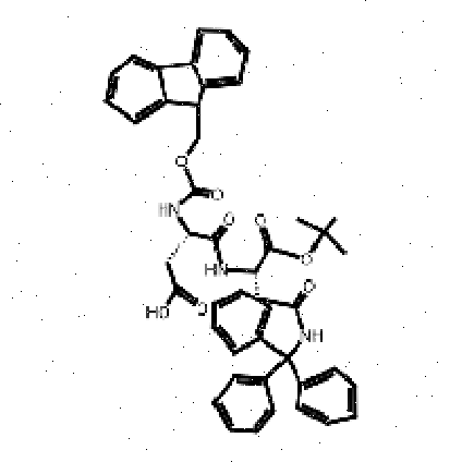 CC(C)(C)OC(=O)[C@H](CC(=O)NC(c1ccccc1)(c1ccccc1)c1ccccc1)NC(=O)[C@H](CC(=O)O)NC(=O)OCC1c2ccccc2-c2ccccc21